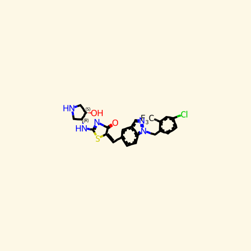 O=C1N=C(N[C@@H]2CNC[C@@H]2O)SC1=Cc1ccc2c(cnn2Cc2ccc(Cl)cc2C(F)(F)F)c1